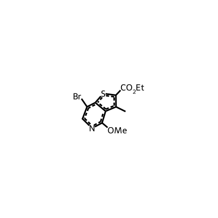 CCOC(=O)c1sc2c(Br)cnc(OC)c2c1C